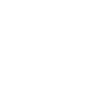 Cc1ccc(Cl)c(C(C)C(NS(=O)(=O)c2cn(C)nc2C)c2nn[nH]n2)c1C